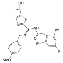 COc1ccc(C/N=S(/NC(=O)Cc2c(C(C)C)cc(F)cc2C(C)C)c2ncc(C(C)(C)O)s2)cc1